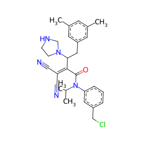 Cc1cc(C)cc(CC(C(C(=O)N(c2cccc(CCl)c2)C(C)C)=C(C#N)C#N)N2CCNC2)c1